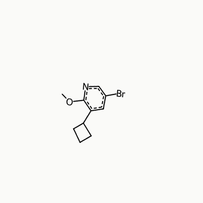 COc1ncc(Br)cc1C1CCC1